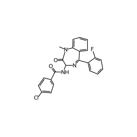 CN1C(=O)C(NC(=O)c2ccc(Cl)cc2)N=C(c2ccccc2F)c2ccccc21